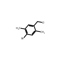 Cc1cc(CCl)c(C)cc1Br